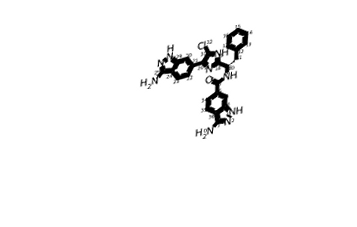 Nc1n[nH]c2cc(C(=O)N[C@@H](Cc3ccccc3)c3nc(-c4ccc5c(N)n[nH]c5c4)c(Cl)[nH]3)ccc12